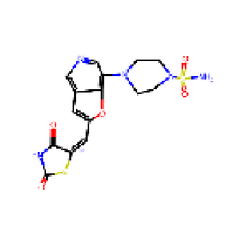 NS(=O)(=O)N1CCN(c2cncc3cc(/C=C4/SC(=O)NC4=O)oc23)CC1